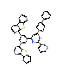 c1ccc(-c2ccc(-c3cc(-c4cc(-c5cccc6c5sc5ccccc56)cc(-c5cccc6c5sc5ccccc56)c4)nc(-c4cccnc4)n3)cc2)cc1